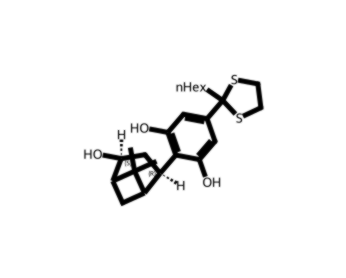 CCCCCCC1(c2cc(O)c([C@@H]3C[C@H](O)C4CC3C4(C)C)c(O)c2)SCCS1